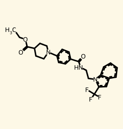 CCOC(=O)C1CCN(c2ccc(C(=O)NCCn3c(C(F)(F)F)cc4ccccc43)cc2)CC1